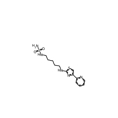 NS(=O)(=O)NCCCCCNc1nc(-c2ccccn2)cs1